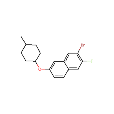 CC1CCC(Oc2ccc3cc(F)c(Br)cc3c2)CC1